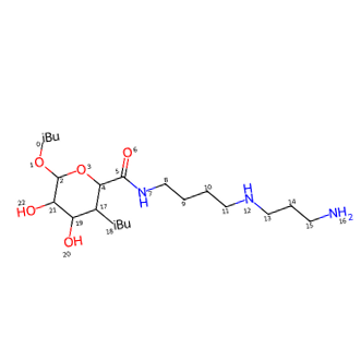 CCC(C)OC1OC(C(=O)NCCCCNCCCN)C(C(C)CC)C(O)C1O